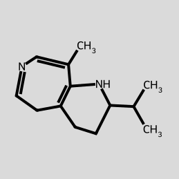 CC1=CN=CCC2=C1NC(C(C)C)CC2